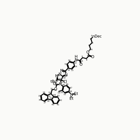 CCCCCCCCCCCCCCOC(=O)CCC(=O)Nc1ccc(-c2nc3n(n2)N=C(C(C)(C)C)C3(Cl)N(C(=O)OCC2c3ccccc3-c3ccccc32)c2ccc(N(CC)CC)cc2C)cc1